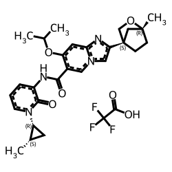 CC(C)Oc1cc2nc([C@]34CC[C@](C)(C3)OC4)cn2cc1C(=O)Nc1cccn([C@@H]2C[C@@H]2C)c1=O.O=C(O)C(F)(F)F